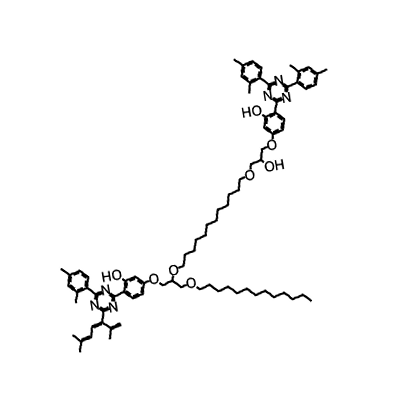 C=C(C)/C(=C\C=C(C)C)c1nc(-c2ccc(C)cc2C)nc(-c2ccc(OCC(COCCCCCCCCCCCCC)OCCCCCCCCCCCCOCC(O)COc3ccc(-c4nc(-c5ccc(C)cc5C)nc(-c5ccc(C)cc5C)n4)c(O)c3)cc2O)n1